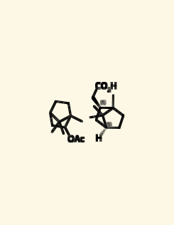 CC(=O)OC1CC2CCC1(C)C2(C)C.CC1(C)[C@H]2CCC1(C)[C@H](CC(=O)O)C2